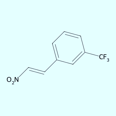 O=[N+]([O-])C=Cc1cccc(C(F)(F)F)c1